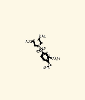 CCCOc1ccc(S(=O)(=O)N(CCOC(C)=O)CCOC(C)=O)cc1C(=O)O